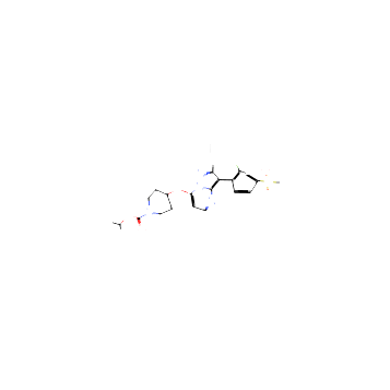 Cc1nn2c(OC3CCN(C(=O)OC(C)C)CC3)ccnc2c1-c1ccc(S(C)(=O)=O)cc1F